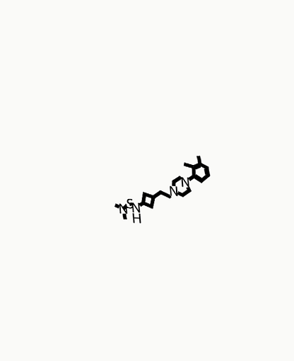 Cc1cccc(N2CCN(CCC3CC(NSN(C)C)C3)CC2)c1C